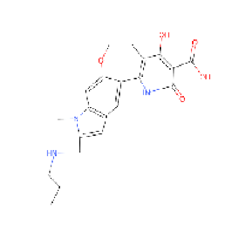 CCC(C)NCc1cc2cc3c(cc2n1C)OCCc1c-3[nH]c(=O)c(C(=O)O)c1O